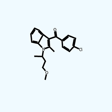 COCCC(C)n1c(C)c(C(=O)c2ccc(Cl)cc2)c2ccccc21